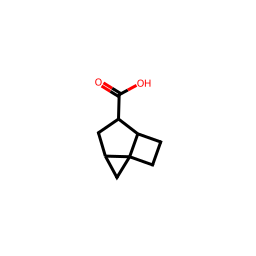 O=C(O)C1CC2CC23CCC13